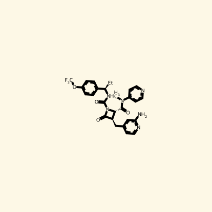 CC[C@@H](NC(=O)N1C(=O)[C@H](Cc2ccnc(N)c2)[C@H]1C(=O)N(C)c1ccncc1)c1ccc(OC(F)(F)F)cc1